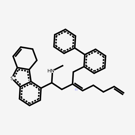 C=CCC/C=C(\Cc1ccccc1-c1ccccc1)CC(NC)c1cccc2sc3c(c12)CCC=C3